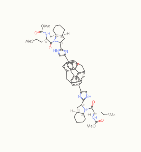 COC(=O)N[C@@H](CCSC)C(=O)N1[C@H](c2nc(-c3ccc(-c4cc5ccc4CCc4ccc(c(-c6ccc(-c7c[nH]c([C@@H]8C[C@@H]9CCCC[C@@H]9N8C(=O)[C@H](CCSC)NC(=O)OC)n7)cc6)c4)CC5)cc3)c[nH]2)C[C@@H]2CCCC[C@@H]21